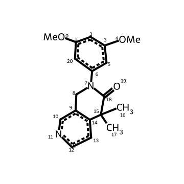 COc1cc(OC)cc(N2Cc3cn[c]cc3C(C)(C)C2=O)c1